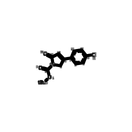 CC(C)(C)OC(=O)N1CC(c2ccc(Cl)cc2)=CC1=O